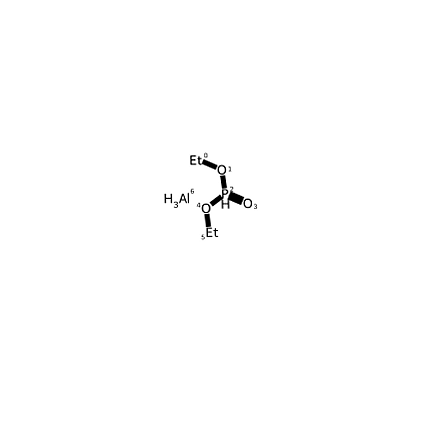 CCO[PH](=O)OCC.[AlH3]